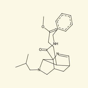 COC(=O)CCC1C2C=NC3(C(=O)NCc4ccccc4)C(C2)CN(CC(C)C)C13